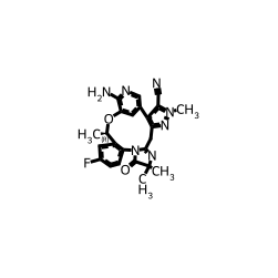 C[C@H]1Oc2cc(cnc2N)-c2c(nn(C)c2C#N)CC2=NC(C)(C)C(=O)N2c2ccc(F)cc21